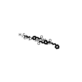 CN(C)CCCOc1ccc(C=c2[nH]c(=O)c(=Cc3ccc(C(=O)NCCCc4ccccc4)cc3)[nH]c2=O)cc1